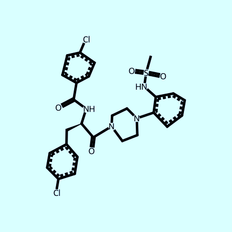 CS(=O)(=O)Nc1ccccc1N1CCN(C(=O)[C@@H](Cc2ccc(Cl)cc2)NC(=O)c2ccc(Cl)cc2)CC1